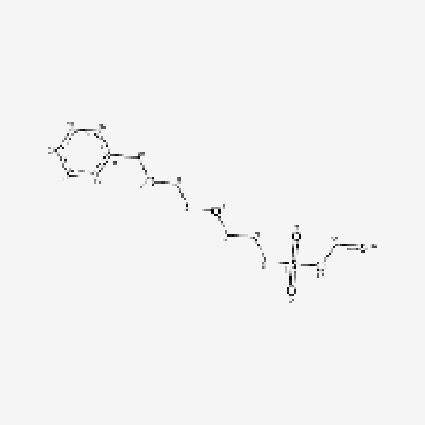 O=S(=O)(CCCOCCOCc1ccccc1)OC=S